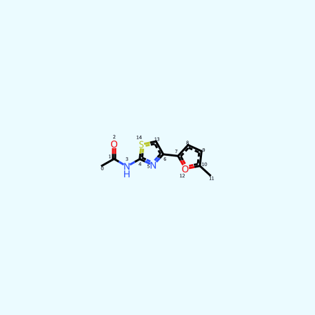 CC(=O)Nc1nc(-c2ccc(C)o2)cs1